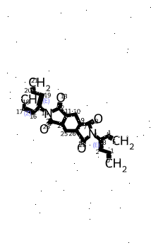 C=C/C=C(\C=C)N1C(=O)C2CC3C(=O)N(C(/C=C\C)=C/C=C)C(=O)C3CC2C1=O